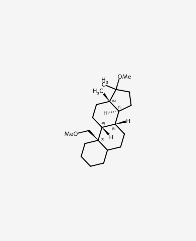 COC[C@]12CCCCC1CC[C@@H]1[C@H]2CC[C@@]2(C)[C@H]1CCC2(C)OC